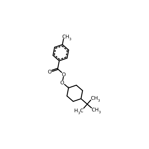 Cc1ccc(C(=O)OO[C]2CCC(C(C)(C)C)CC2)cc1